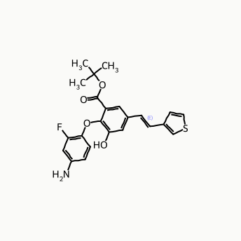 CC(C)(C)OC(=O)c1cc(/C=C/c2ccsc2)cc(O)c1Oc1ccc(N)cc1F